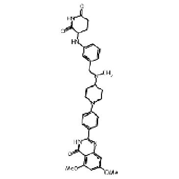 COc1cc(OC)c2c(=O)[nH]c(-c3ccc(N4CCC(N(C)Cc5cccc(NC6CCC(=O)NC6=O)c5)CC4)cc3)nc2c1